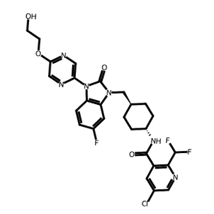 O=C(N[C@H]1CC[C@H](Cn2c(=O)n(-c3cnc(OCCO)cn3)c3ccc(F)cc32)CC1)c1cc(Cl)cnc1C(F)F